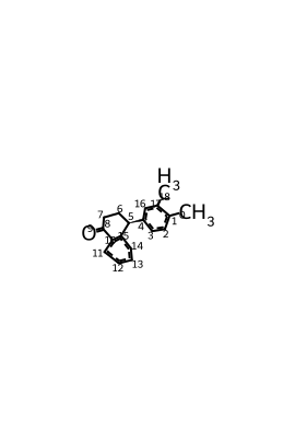 Cc1ccc([C@@H]2CCC(=O)c3ccccc32)cc1C